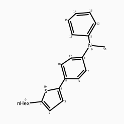 CCCCCCc1ccc(-c2ccc(N(C)c3ccccc3)cc2)s1